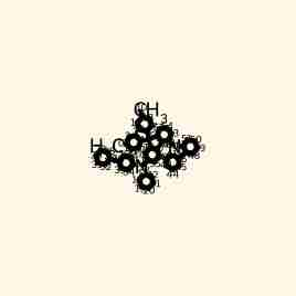 Cc1ccc(C2(c3ccc(C)cc3)c3cc(N(c4ccccc4)c4ccc(-c5ccccc5)cc4)ccc3-c3c(-n4c5ccccc5c5ccccc54)cccc32)cc1